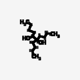 CCCCC(O)C(O)(CCCC)CCCC